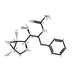 CO[C@@H](C(Cc1ccccc1)OC(N)=O)[C@H]1OC[C@H]2O[C@@H]12